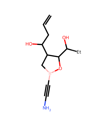 C=CCC(O)C1CB(C#CN)OC1C(O)CC